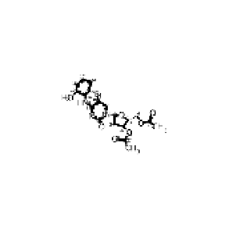 CC(=O)OC[C@H]1O[C@@H](n2cc(Br)c(Nc3ccccc3O)nc2=O)CC1OC(C)=O